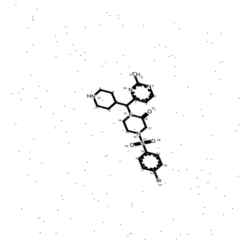 Cc1nccc(C(C2CCNCC2)N2CCN(S(=O)(=O)c3ccc(Br)cc3)CC2=O)n1